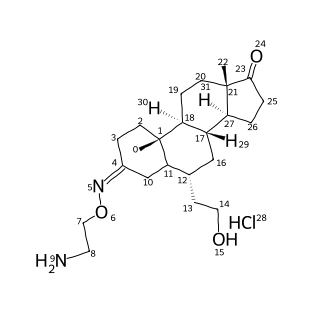 C[C@]12CC/C(=N/OCCN)CC1[C@@H](CCO)C[C@@H]1[C@@H]2CC[C@]2(C)C(=O)CC[C@@H]12.Cl